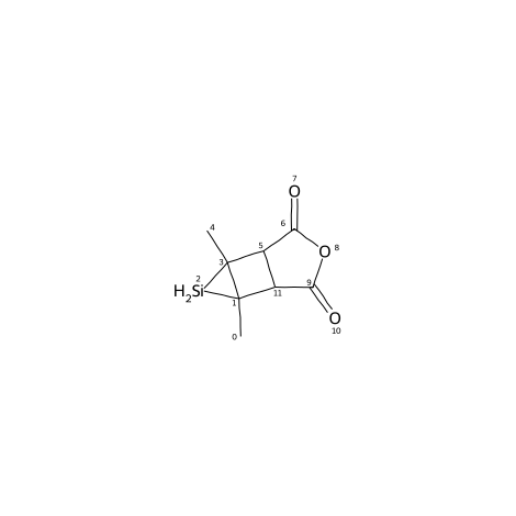 CC12[SiH2]C1(C)C1C(=O)OC(=O)C12